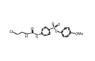 COc1ccc(OS(=O)(=O)c2ccc(NC(=O)NCCCl)cc2)cc1